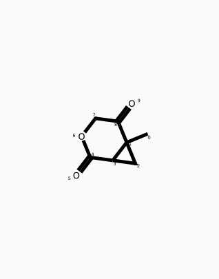 CC12CC1C(=O)OCC2=O